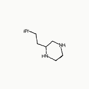 CC(C)CCC1CNCCN1